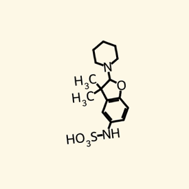 CC1(C)c2cc(NS(=O)(=O)O)ccc2OC1N1CCCCC1